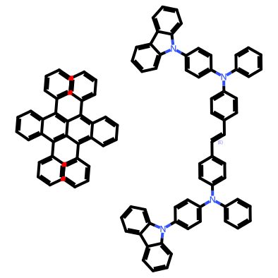 C(=C\c1ccc(N(c2ccccc2)c2ccc(-n3c4ccccc4c4ccccc43)cc2)cc1)/c1ccc(N(c2ccccc2)c2ccc(-n3c4ccccc4c4ccccc43)cc2)cc1.c1ccc(-c2c3ccccc3c(-c3ccccc3)c3c(-c4ccccc4)c4ccccc4c(-c4ccccc4)c23)cc1